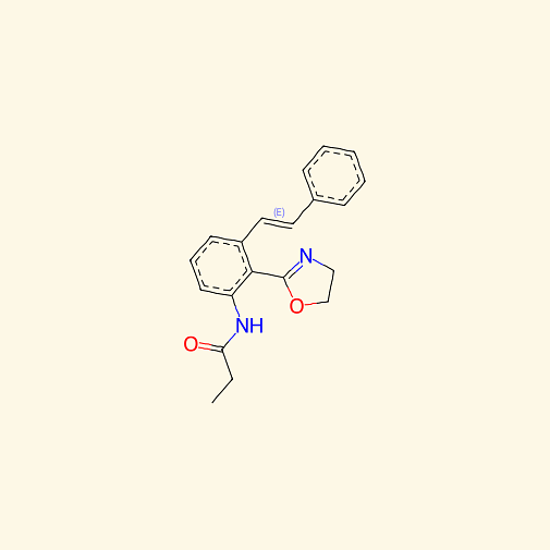 CCC(=O)Nc1cccc(/C=C/c2ccccc2)c1C1=NCCO1